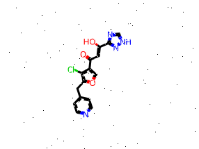 O=C(C=C(O)c1nc[nH]n1)c1coc(Cc2ccncc2)c1Cl